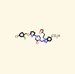 O=C(O)c1ccc2nc(CN3CCN(c4cccc(OCc5ccc(Cl)cc5F)n4)CC3=O)n(CC[C@@H]3CCO3)c2c1